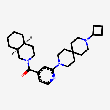 O=C(c1ccnc(N2CCC3(CC2)CCN(C2CCC2)CC3)c1)N1CC[C@@H]2CCCC[C@@H]2C1